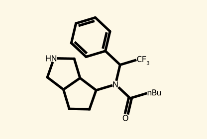 CCCCC(=O)N(C1CCC2CNCC21)C(c1ccccc1)C(F)(F)F